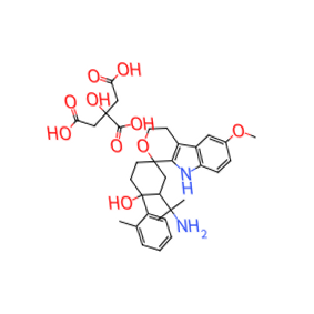 COc1ccc2[nH]c3c(c2c1)CCOC31CCC(O)(c2ccccc2C)C(C(C)(C)N)C1.O=C(O)CC(O)(CC(=O)O)C(=O)O